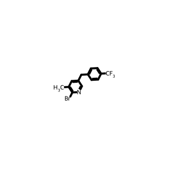 Cc1cc(Cc2ccc(C(F)(F)F)cc2)cnc1Br